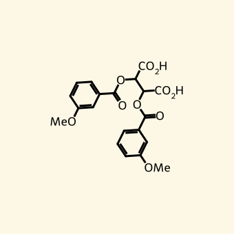 COc1cccc(C(=O)OC(C(=O)O)C(OC(=O)c2cccc(OC)c2)C(=O)O)c1